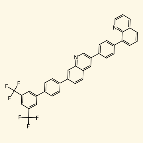 FC(F)(F)c1cc(-c2ccc(-c3ccc4cc(-c5ccc(-c6cccc7cccnc67)cc5)cnc4c3)cc2)cc(C(F)(F)F)c1